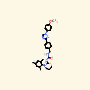 Cc1cc(C)c(N2CCCS/C2=N\C(=O)NCc2ccc(-c3ncn(-c4ccc(OC(F)(F)F)cc4)n3)cc2)c(C)c1